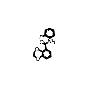 O=C(Nc1ccccc1F)c1cccc2c1OCCO2